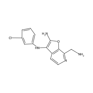 NCc1nccc2c(Nc3cccc(Cl)c3)c(N)oc12